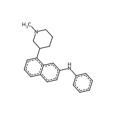 CN1CCCC(c2cccc3ccc(Nc4ccccc4)cc23)C1